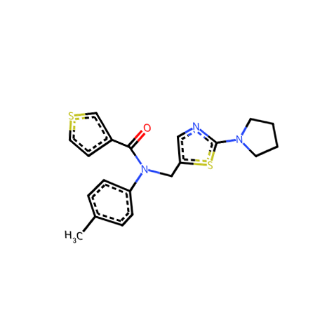 Cc1ccc(N(Cc2cnc(N3CCCC3)s2)C(=O)c2ccsc2)cc1